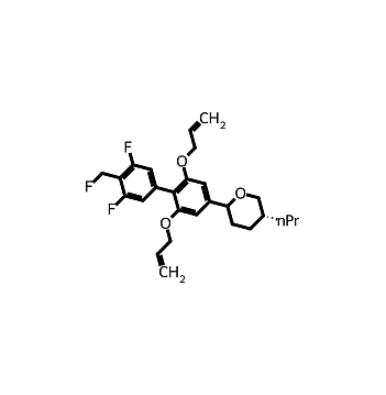 C=CCOc1cc(C2CC[C@@H](CCC)CO2)cc(OCC=C)c1-c1cc(F)c(CF)c(F)c1